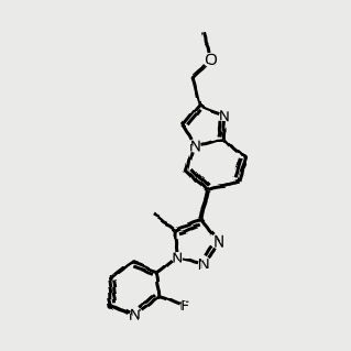 COCc1cn2cc(-c3nnn(-c4cccnc4F)c3C)ccc2n1